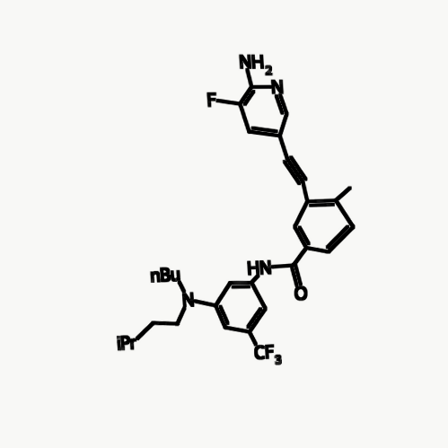 CCCCN(CCC(C)C)c1cc(NC(=O)c2ccc(C)c(C#Cc3cnc(N)c(F)c3)c2)cc(C(F)(F)F)c1